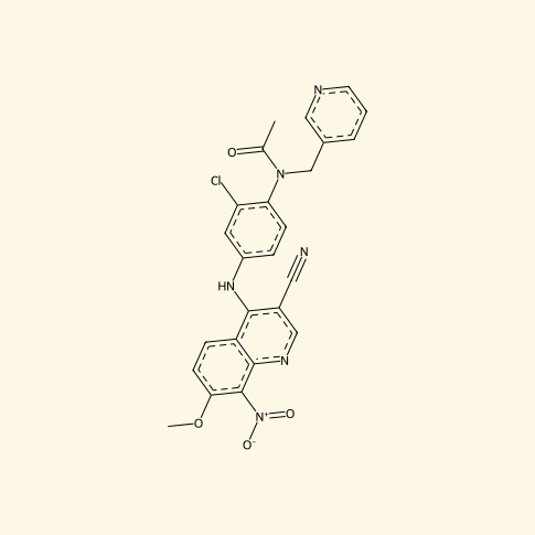 COc1ccc2c(Nc3ccc(N(Cc4cccnc4)C(C)=O)c(Cl)c3)c(C#N)cnc2c1[N+](=O)[O-]